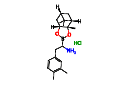 Cc1ccc(CC(N)B2O[C@@H]3C[C@@H]4C[C@@H](C4(C)C)[C@]3(C)O2)cc1C.Cl